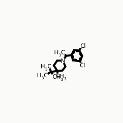 CC(c1cc(Cl)cc(Cl)c1)N1CCC(C)(C(C)(C)C)CC1